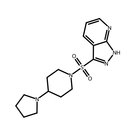 O=S(=O)(c1n[nH]c2ncccc12)N1CCC(N2CCCC2)CC1